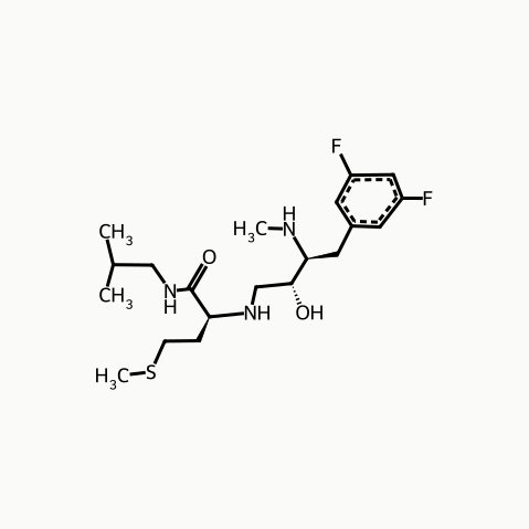 CN[C@@H](Cc1cc(F)cc(F)c1)[C@H](O)CN[C@@H](CCSC)C(=O)NCC(C)C